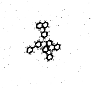 C1=CC(c2ccccc2-n2c3ccccc3c3ccccc32)CC=C1N(c1ccc(C2=c3ccccc3=CCC2)cc1)c1ccc(-c2ccccc2)cc1